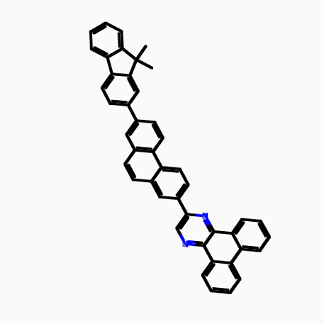 CC1(C)c2ccccc2-c2ccc(-c3ccc4c(ccc5cc(-c6cnc7c8ccccc8c8ccccc8c7n6)ccc54)c3)cc21